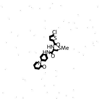 CSCC(NC(=O)c1ccc(Cl)s1)C(=O)Nc1ccc(-n2ccccc2=O)cc1